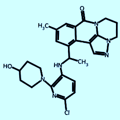 Cc1cc(C(C)Nc2ccc(Cl)nc2N2CCC(O)CC2)c2c(c1)c(=O)n1c3c2cnn3CCC1